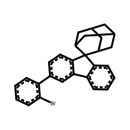 Brc1ccccc1-c1ccc2c(c1)-c1ccccc1C21C2CC3CC(C2)CC1C3